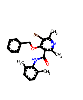 Cc1cccc(C)c1NC(=O)c1c(C)nc(C)c(Br)c1OCc1ccccc1